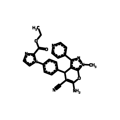 CCOC(=O)c1nccn1-c1ccc(C2C(C#N)=C(N)Oc3c2c(-c2ccncc2)nn3C)cc1